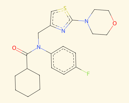 O=C(C1CCCCC1)N(Cc1csc(N2CCOCC2)n1)c1ccc(F)cc1